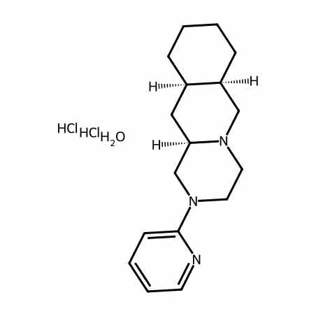 Cl.Cl.O.c1ccc(N2CCN3C[C@@H]4CCCC[C@@H]4C[C@@H]3C2)nc1